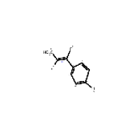 O=C(O)/C(F)=C(\F)c1ccc(Cl)cc1